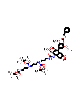 COC[C@@H]1[C@H](NC(=O)NCCCN(CCCCN(CCCNC(=O)OC(C)(C)C)C(=O)OC(C)(C)C)C(=O)OC(C)(C)C)c2cc3c(cc2C(c2cc(OC)c(OC(=O)OCc4ccccc4)c(OC)c2)[C@H]1C=O)OCO3